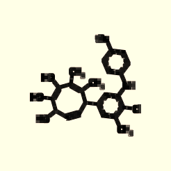 CC1=C(\C)C(c2cc(C)c(Cl)c(Nc3ccc(C(C)(C)C)cc3)c2)C#CC(O)/C(O)=C\1O